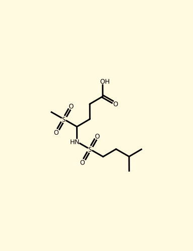 CC(C)CCS(=O)(=O)NC(CCC(=O)O)S(C)(=O)=O